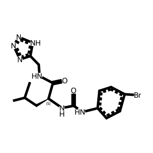 CC(C)C[C@H](NC(=O)Nc1ccc(Br)cc1)C(=O)NCc1nnn[nH]1